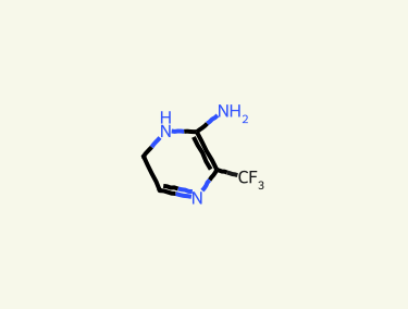 NC1=C(C(F)(F)F)N=CCN1